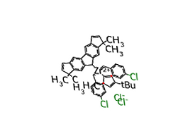 CC1C=C(C(C)(C)C)C=[C]1[Zr+2](=[CH]c1ccc(Cl)cc1)(=[CH]c1ccc(Cl)cc1)[CH]1c2cc3c(cc2-c2cc4c(cc21)C(C)(C)C=C4)C=CC3(C)C.[Cl-].[Cl-]